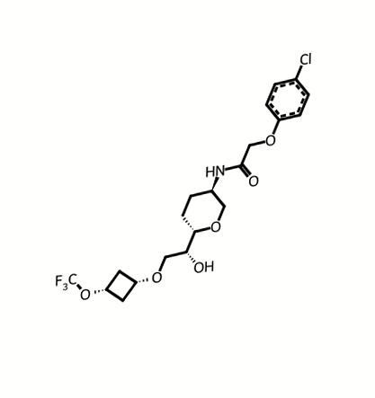 O=C(COc1ccc(Cl)cc1)N[C@@H]1CC[C@@H]([C@H](O)CO[C@H]2C[C@@H](OC(F)(F)F)C2)OC1